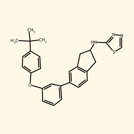 CC(C)(C)c1ccc(Oc2cccc(-c3ccc4c(c3)CC(Nc3nncs3)C4)c2)cc1